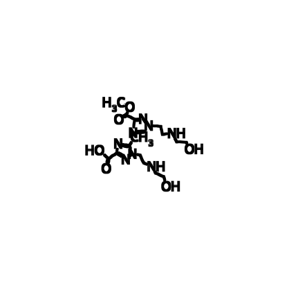 COC(=O)c1ncn(CCNCCO)n1.Cc1nc(C(=O)O)nn1CCNCCO